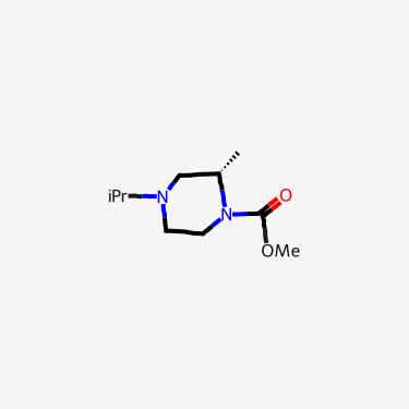 COC(=O)N1CCN(C(C)C)C[C@@H]1C